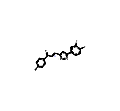 Cc1ccc(C(=O)/C=C/c2cc(-c3ccc(F)c(F)c3)n[nH]2)cc1